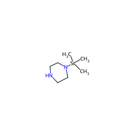 C[Si](C)(C)N1CCNCC1